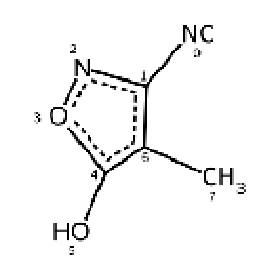 [C-]#[N+]c1noc(O)c1C